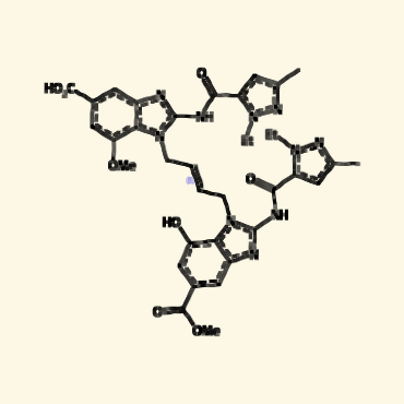 CCn1nc(C)cc1C(=O)Nc1nc2cc(C(=O)OC)cc(O)c2n1C/C=C/Cn1c(NC(=O)c2cc(C)nn2CC)nc2cc(C(=O)O)cc(OC)c21